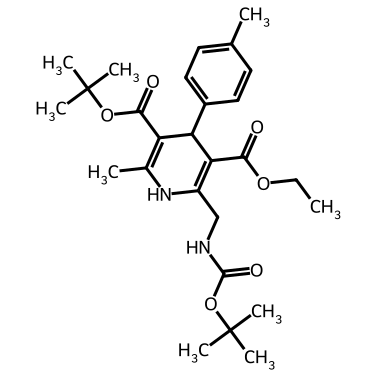 CCOC(=O)C1=C(CNC(=O)OC(C)(C)C)NC(C)=C(C(=O)OC(C)(C)C)C1c1ccc(C)cc1